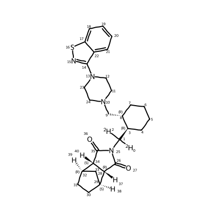 [2H]C([2H])([C@@H]1CCCC[C@H]1CN1CCN(c2nsc3ccccc23)CC1)N1C(=O)[C@@H]2[C@H]3CC[C@H](C3)[C@@H]2C1=O